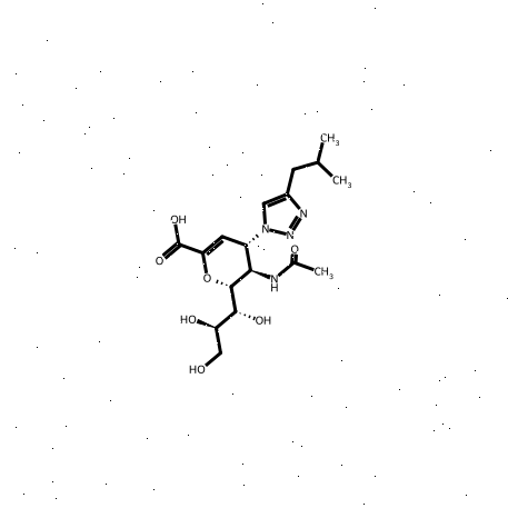 CC(=O)N[C@H]1[C@H]([C@H](O)[C@H](O)CO)OC(C(=O)O)=C[C@@H]1n1cc(CC(C)C)nn1